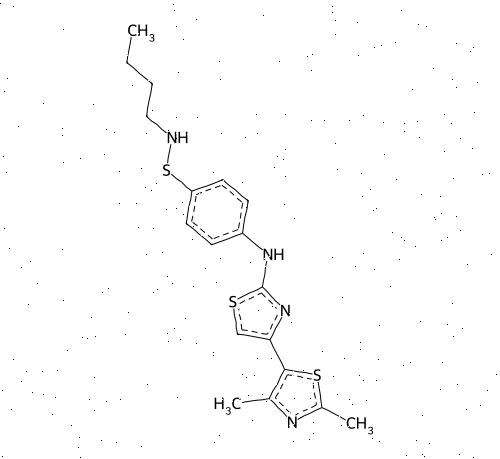 CCCCNSc1ccc(Nc2nc(-c3sc(C)nc3C)cs2)cc1